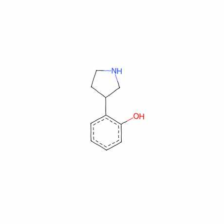 Oc1ccccc1C1CCNC1